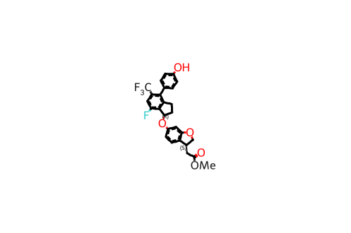 COC(=O)C[C@@H]1COc2cc(O[C@@H]3CCc4c(-c5ccc(O)cc5)c(C(F)(F)F)cc(F)c43)ccc21